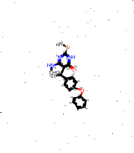 CCCSc1nc(NC=O)c(C(CC)c2ccc(Oc3ccccc3)cc2)c(=O)[nH]1